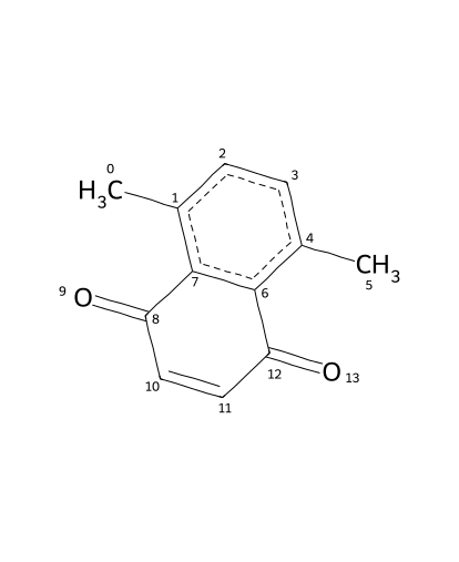 Cc1ccc(C)c2c1C(=O)C=CC2=O